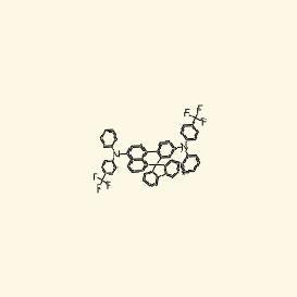 FC(F)(F)c1ccc(N(c2ccccc2)c2ccc3c(c2)C2(c4ccccc4-c4ccccc42)c2cccc4c(N(c5ccccc5)c5ccc(C(F)(F)F)cc5)ccc-3c24)cc1